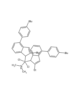 CCC1=Cc2c(-c3ccc(C(C)CC)cc3)cccc2[CH]1[Zr]([Cl])([Cl])([CH]1C(C(C)CC)=Cc2c(-c3ccc(C(C)(C)C)cc3)cccc21)[SiH](C)C